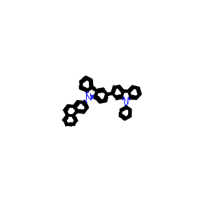 c1ccc(-n2c3ccccc3c3ccc(-c4ccc5c(c4)c4ccccc4n5-c4ccc5c(ccc6ccccc65)c4)cc32)cc1